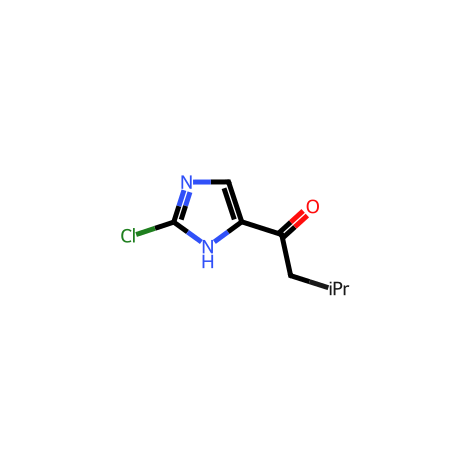 CC(C)CC(=O)c1cnc(Cl)[nH]1